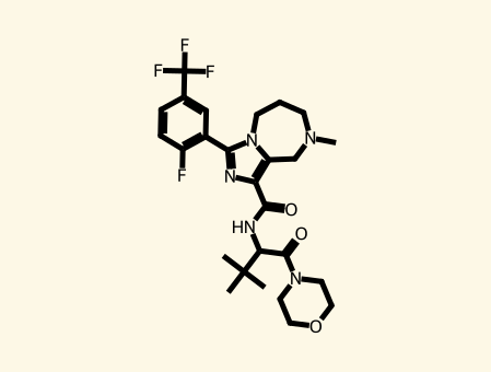 CN1CCCn2c(-c3cc(C(F)(F)F)ccc3F)nc(C(=O)NC(C(=O)N3CCOCC3)C(C)(C)C)c2C1